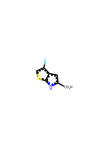 O=C(O)c1cc2c(F)csc2[nH]1